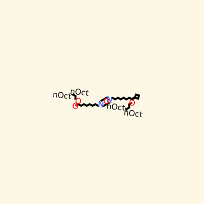 CCCCCCCCC(CCCCCCCC)CCOC(=O)CCCCCCCN1CC2CN(CCCCCCCC(OCCC(CCCCCCCC)CCCCCCCC)=C3CCC3)CC(C1)O2